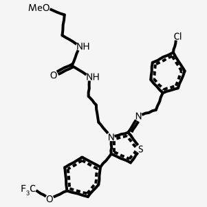 COCCNC(=O)NCCCn1c(-c2ccc(OC(F)(F)F)cc2)csc1=NCc1ccc(Cl)cc1